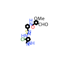 COc1cc(C=O)cc(C(=O)Nc2cccc(-c3nnc(Nc4ccc5[nH]ncc5c4Cl)s3)c2)c1